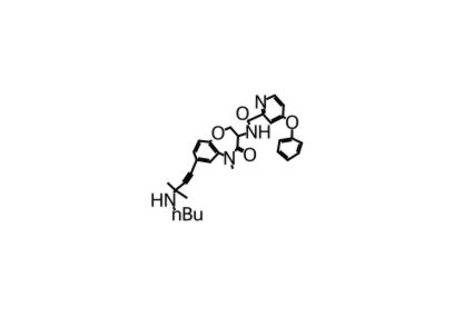 CCCCNC(C)(C)C#Cc1ccc2c(c1)N(C)C(=O)C(NC(=O)c1cc(Oc3ccccc3)ccn1)CO2